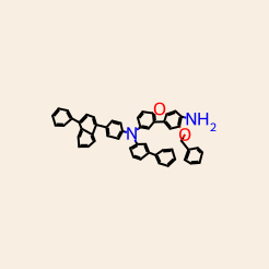 Nc1cc2oc3ccc(N(c4ccc(-c5ccc(-c6ccccc6)c6ccccc56)cc4)c4cccc(-c5ccccc5)c4)cc3c2cc1OCc1ccccc1